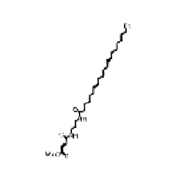 CCC=CCC=CCC=CCC=CCC=CCC=CCCC(=O)NCCCNC(=O)C=CC(=O)OC